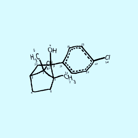 CC1(C)C2CCC1(C)C(O)(c1ccc(Cl)cc1)C2